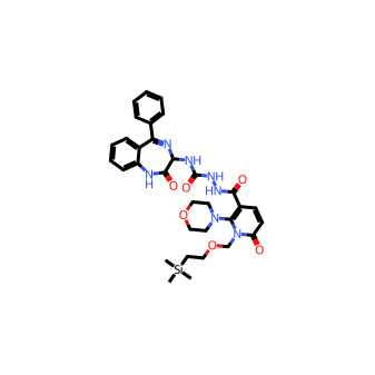 C[Si](C)(C)CCOCn1c(N2CCOCC2)c(C(=O)NNC(=O)NC2N=C(c3ccccc3)c3ccccc3NC2=O)ccc1=O